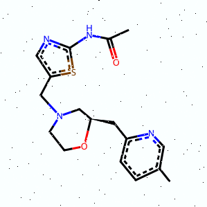 CC(=O)Nc1ncc(CN2CCO[C@H](Cc3ccc(C)cn3)C2)s1